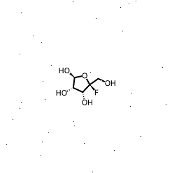 OC[C@@]1(F)O[C@H](O)[C@@H](O)[C@H]1O